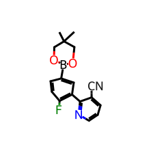 CC1(C)COB(c2ccc(F)c(-c3ncccc3C#N)c2)OC1